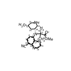 COC(=O)C(C)(C)N(c1ccc(C#N)c2nccnc12)[C@H]1CNC[C@@H](C)C1